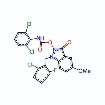 COc1ccc2c(c1)c(=O)n(OC(=O)Nc1c(Cl)cccc1Cl)n2Cc1c(F)cccc1Cl